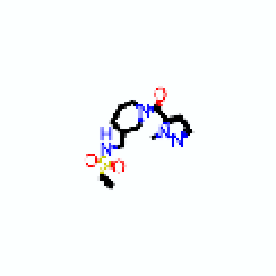 C=CS(=O)(=O)NCC1CCCN(C(=O)c2ccnn2C)C1